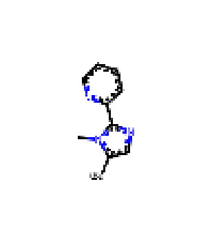 Cn1c(C(C)(C)C)cnc1-c1ccccn1